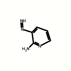 N=Nc1cccnc1N